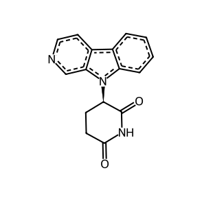 O=C1CC[C@@H](n2c3ccccc3c3ccncc32)C(=O)N1